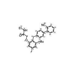 CCCCc1nc(C)nc(OCC(=O)NCC)c1Cc1ccc(-c2ccccc2C#N)cc1